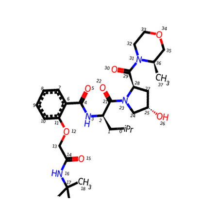 CC(C)C[C@@H](NC(=O)c1ccccc1OCC(=O)NC1(C)CC1)C(=O)N1C[C@@H](O)C[C@@H]1C(=O)N1CCOC[C@H]1C